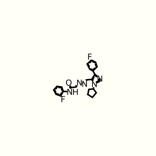 O=C(/C=N/N=C/c1c(-c2ccc(F)cc2)ncn1C1CCCC1)Nc1ccccc1F